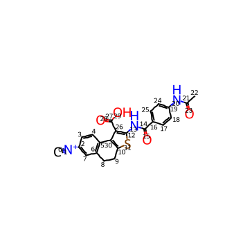 [C-]#[N+]c1ccc2c(c1)CCc1sc(NC(=O)c3ccc(NC(C)=O)cc3)c(C(=O)O)c1-2